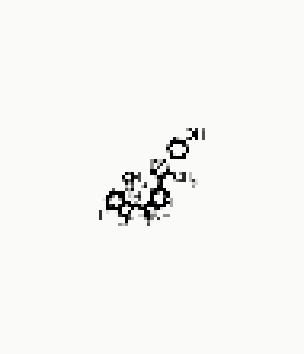 [2H][C@@](C)(c1c(OC)ccc(F)c1Cl)c1c[nH]c2ncc(-c3cnn([C@H]4CC[C@H](O)CC4)c3C)cc12